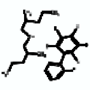 CCCC(C)CPCC(C)CCC.Fc1ccccc1-c1c(F)c(F)c(F)c(F)c1F